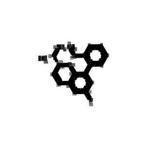 COc1ccccc1-c1cc(F)cc2c1O[C@@H](CN)C=C2.Cl